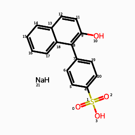 O=S(=O)(O)c1ccc(-c2c(O)ccc3ccccc23)cc1.[NaH]